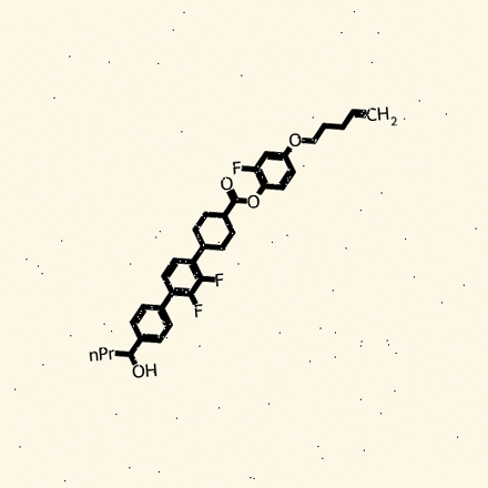 C=CCCCOc1ccc(OC(=O)C2CCC(c3ccc(-c4ccc(C(O)CCC)cc4)c(F)c3F)CC2)c(F)c1